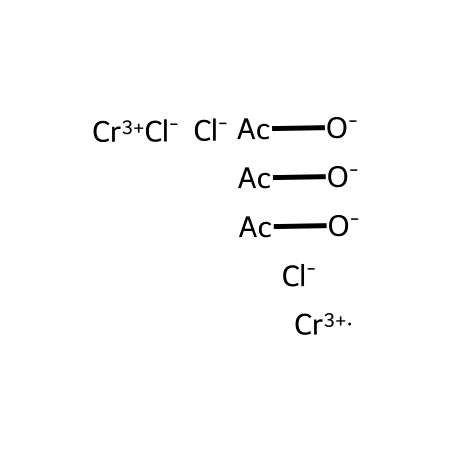 CC(=O)[O-].CC(=O)[O-].CC(=O)[O-].[Cl-].[Cl-].[Cl-].[Cr+3].[Cr+3]